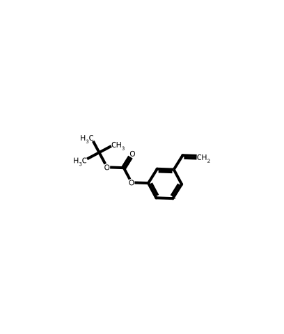 C=Cc1c[c]cc(OC(=O)OC(C)(C)C)c1